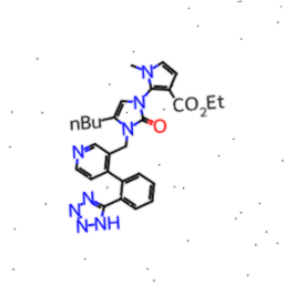 CCCCc1cn(-c2c(C(=O)OCC)ccn2C)c(=O)n1Cc1cnccc1-c1ccccc1-c1nnn[nH]1